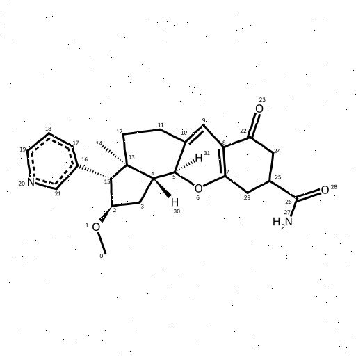 CO[C@@H]1C[C@H]2[C@@H]3OC4=C(C=C3CC[C@]2(C)[C@H]1c1cccnc1)C(=O)CC(C(N)=O)C4